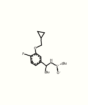 CC(C)(C)C(N[S@@+]([O-])C(C)(C)C)c1ccc(F)c(OCC2CC2)c1